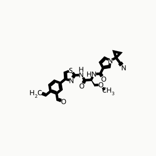 C=Cc1ccc(-c2csc(NC(=O)[C@H](COC)NC(=O)c3ccn(C4(C#N)CC4)c3)n2)cc1C=O